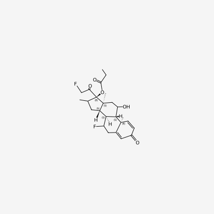 CCC(=O)O[C@]1(C(=O)CF)C(C)C[C@H]2[C@@H]3C(F)CC4=CC(=O)C=C[C@]4(C)[C@H]3C(O)C[C@@]21C